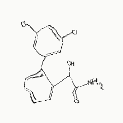 NC(=O)C(O)c1ccccc1-c1cc(Cl)cc(Cl)c1